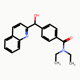 CCN(CC)C(=O)c1ccc(C(O)c2ccc3ccccc3n2)cc1